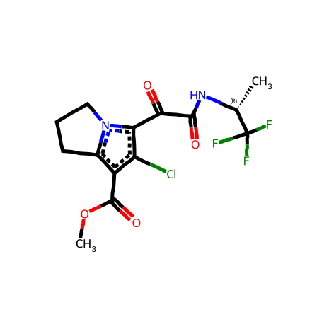 COC(=O)c1c(Cl)c(C(=O)C(=O)N[C@H](C)C(F)(F)F)n2c1CCC2